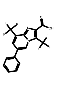 O=C(O)c1nc2c(C(F)(F)F)cc(-c3ccccc3)cn2c1C(F)(F)F